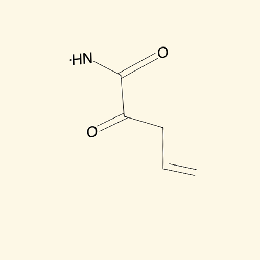 C=CCC(=O)C([NH])=O